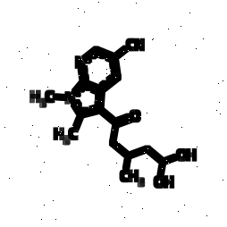 Cc1c(C(=O)CC(C)CC(O)O)c2cc(C#N)cnc2n1C